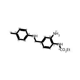 CCOC(=O)Nc1ccc(CNc2ccc(C)cc2)cc1N